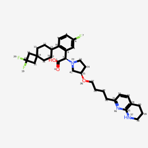 O=C(O)[C@@H](c1cc(F)ccc1C1CCC2(CC1)CC(F)(F)C2)N1CC[C@@H](OCCCCc2ccc3c(n2)NCCC3)C1